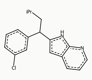 CC(C)CC(c1cccc(Cl)c1)c1cc2cccnc2[nH]1